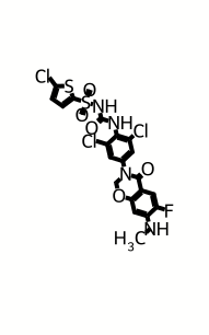 CNc1cc2c(cc1F)C(=O)N(c1cc(Cl)c(NC(=O)NS(=O)(=O)c3ccc(Cl)s3)c(Cl)c1)CO2